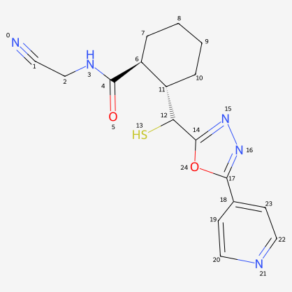 N#CCNC(=O)[C@H]1CCCC[C@@H]1C(S)c1nnc(-c2ccncc2)o1